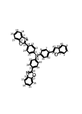 c1ccc2oc(-c3ccc(N(c4ccc(-c5nc6ccccc6o5)cc4)c4ccc(-c5nc6ccccc6o5)cc4)cc3)cc2c1